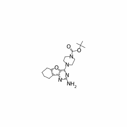 CC(C)(C)OC(=O)N1CCN(c2nc(N)nc3c4c(oc23)CCCC4)CC1